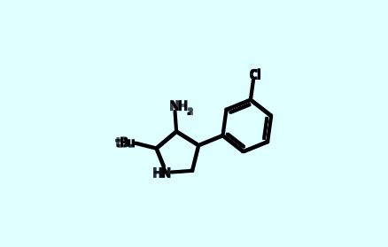 CC(C)(C)C1NCC(c2cccc(Cl)c2)C1N